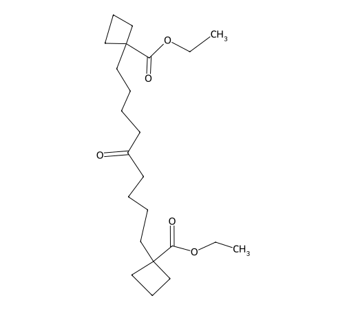 CCOC(=O)C1(CCCCC(=O)CCCCC2(C(=O)OCC)CCC2)CCC1